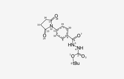 CC(C)(C)OC(=O)NNC(=O)c1ccc(N2C(=O)CCC2=O)cc1